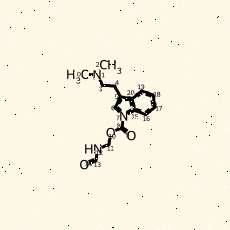 CN(C)CCc1cn(C(=O)OCNC=O)c2ccccc12